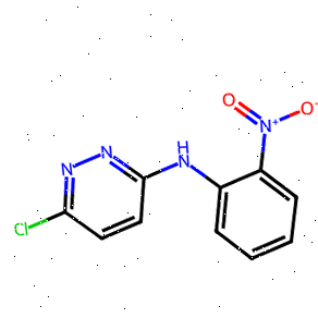 O=[N+]([O-])c1ccccc1Nc1ccc(Cl)nn1